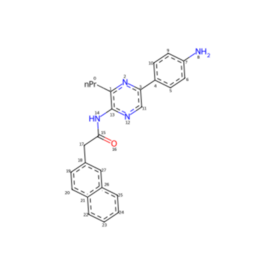 CCCc1nc(-c2ccc(N)cc2)cnc1NC(=O)Cc1ccc2ccccc2c1